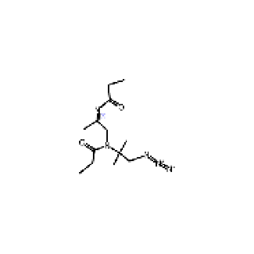 CCC(=O)/N=C(/C)CN(C(=O)CC)C(C)(C)CN=[N+]=[N-]